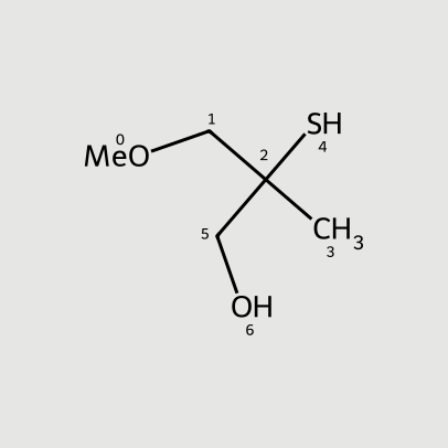 COCC(C)(S)CO